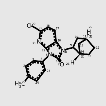 Cc1ccc(-n2c(=O)n(C3C[C@H]4CC[C@H]3C4)c3ccc(Cl)nc32)cc1